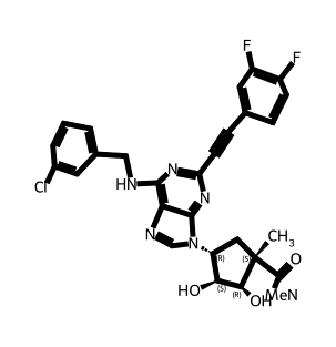 CNC(=O)[C@@]1(C)C[C@@H](n2cnc3c(NCc4cccc(Cl)c4)nc(C#Cc4ccc(F)c(F)c4)nc32)[C@H](O)[C@@H]1O